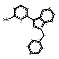 O=Cc1cccc(-c2nn(Cc3ccccc3)c3ccccc23)n1